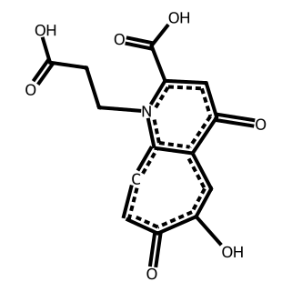 O=C(O)CCn1c(C(=O)O)cc(=O)c2cc(O)c(=O)ccc21